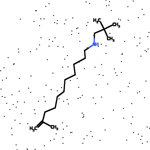 C=C(C)CCCCCCCCCNCC(C)(C)C